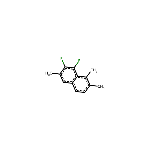 Cc1cc2ccc(C)c(C)c2c(F)c1F